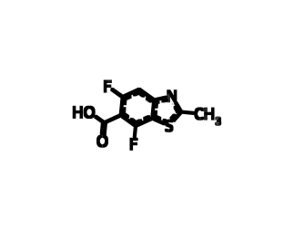 Cc1nc2cc(F)c(C(=O)O)c(F)c2s1